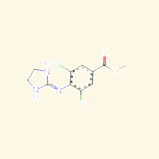 COC(=O)c1cc(Cl)c(N=C2NCCN2)c(Cl)c1